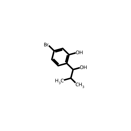 CC(C)C(O)c1ccc(Br)cc1O